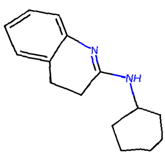 c1ccc2c(c1)CCC(NC1CCCCC1)=N2